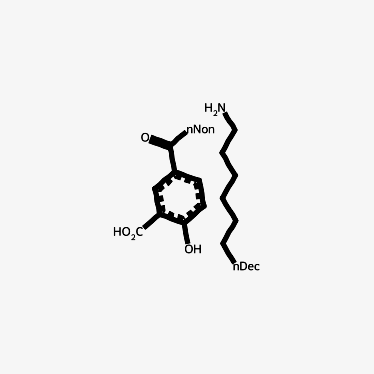 CCCCCCCCCC(=O)c1ccc(O)c(C(=O)O)c1.CCCCCCCCCCCCCCCCN